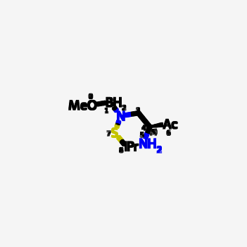 COBN(C[C@H](N)C(C)=O)SC(C)C